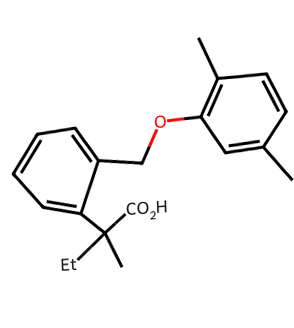 CCC(C)(C(=O)O)c1ccccc1COc1cc(C)ccc1C